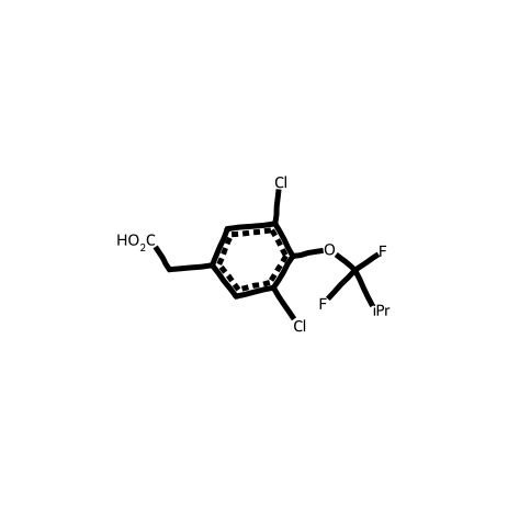 CC(C)C(F)(F)Oc1c(Cl)cc(CC(=O)O)cc1Cl